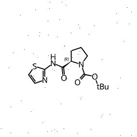 CC(C)(C)OC(=O)N1CCC[C@@H]1C(=O)Nc1nccs1